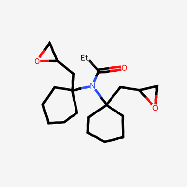 CCC(=O)N(C1(CC2CO2)CCCCC1)C1(CC2CO2)CCCCC1